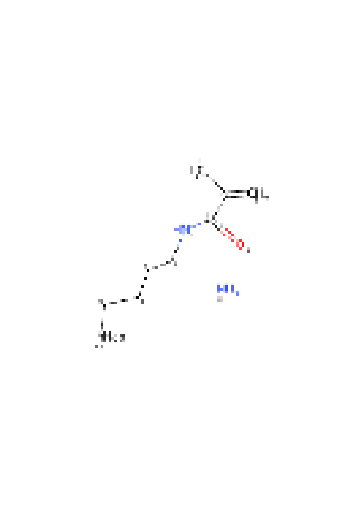 C=C(C)C(=O)NCCCCCCCCCC.N